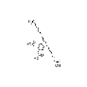 CCCCCCCCCCCCCCCCCC(=O)O.O=C(O)Cc1ccccc1CC(=O)O